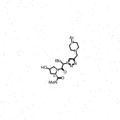 CNC(=O)[C@H]1CC(O)CN1C(=O)C(n1cc(CN2CCN(C(C)=O)CC2)nn1)C(C)(C)C